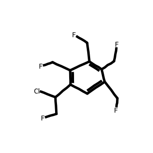 FCc1cc(C(Cl)CF)c(CF)c(CF)c1CF